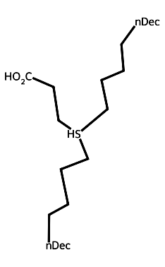 CCCCCCCCCCCCCC[SH](CCCCCCCCCCCCCC)CCC(=O)O